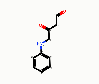 O=CCC(=O)CNc1ccccc1